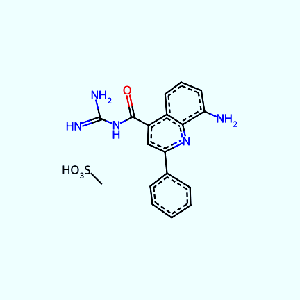 CS(=O)(=O)O.N=C(N)NC(=O)c1cc(-c2ccccc2)nc2c(N)cccc12